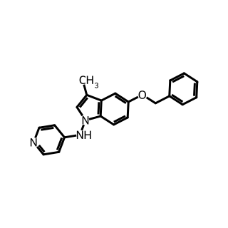 Cc1cn(Nc2ccncc2)c2ccc(OCc3ccccc3)cc12